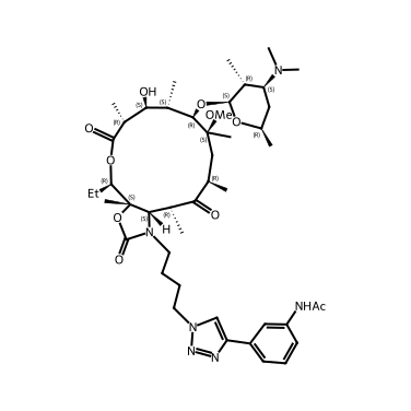 CC[C@H]1OC(=O)[C@H](C)[C@@H](O)[C@H](C)[C@@H](O[C@@H]2O[C@H](C)C[C@H](N(C)C)[C@H]2C)[C@@](C)(OC)C[C@@H](C)C(=O)[C@H](C)[C@@H]2N(CCCCn3cc(-c4cccc(NC(C)=O)c4)nn3)C(=O)O[C@@]21C